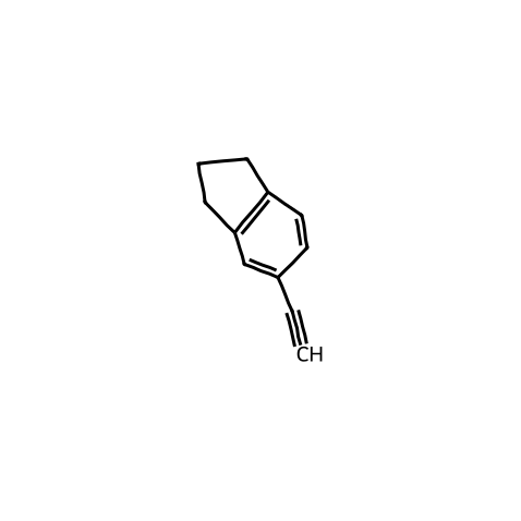 C#Cc1ccc2c(c1)CCC2